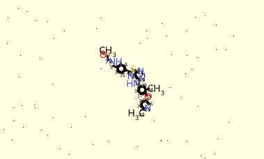 COCCNCc1ccc(-c2nc3c(Nc4ccc(Oc5ccc(C)nc5)c(C)c4)ncnc3s2)cc1